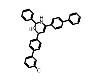 Clc1cccc(-c2ccc(C3C=C(c4ccc(-c5ccccc5)cc4)NC(c4ccccc4)N3)cc2)c1